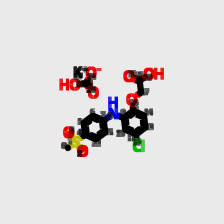 CS(=O)(=O)c1ccc(Nc2cc(Cl)ccc2OCC(=O)O)cc1.O=C([O-])O.[K+]